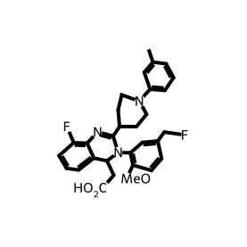 COc1ccc(CF)cc1N1C(C2CCN(c3cccc(C)c3)CC2)=Nc2c(F)cccc2C1CC(=O)O